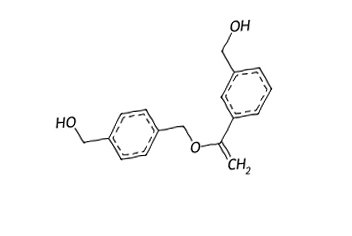 C=C(OCc1ccc(CO)cc1)c1cccc(CO)c1